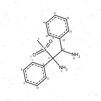 CS(=O)(=O)C(N)(c1ccccc1)C(N)c1ccccc1